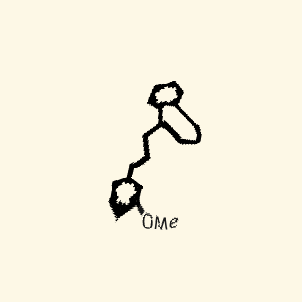 COc1[c]ccc(CCCC2=CCCc3ccccc32)c1